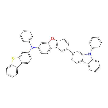 c1ccc(N(c2ccc3c(c2)oc2ccc(-c4ccc5c6ccccc6n(-c6ccccc6)c5c4)cc23)c2ccc3c(c2)sc2ccccc23)cc1